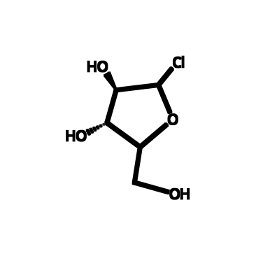 OCC1OC(Cl)[C@H](O)[C@H]1O